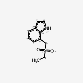 CCS(=O)(=O)Cc1cccc2cc[nH]c12